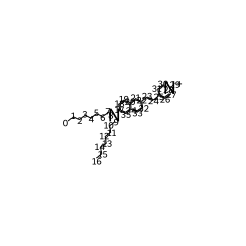 CCCCCCCCN(CCCCCCCC)c1ccc2cc(C=Cc3cc[n+](C)cc3)ccc2c1